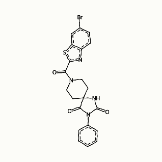 O=C(c1nc2ccc(Br)cc2s1)N1CCC2(CC1)NC(=O)N(c1ccccc1)C2=O